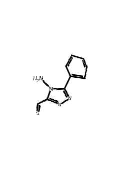 Nn1c(C=S)nnc1-c1ccccc1